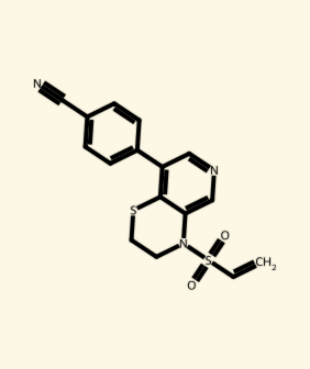 C=CS(=O)(=O)N1CCSc2c(-c3ccc(C#N)cc3)cncc21